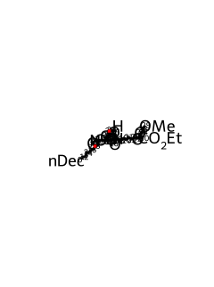 CCCCCCCCCCCCCCCCc1cc(OCC(COC(=O)NCCCCCCOC(OCCOC)C(=O)OCC)Oc2ccon2)no1